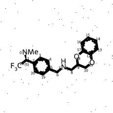 CN[C@@H](c1ccc(CNCC2COc3ccccc3O2)cc1)C(F)(F)F